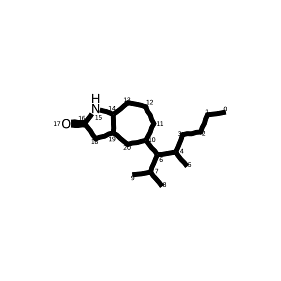 CCCCC(C)C(C(C)C)C1CCCC2NC(=O)CC2C1